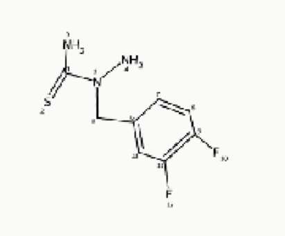 NC(=S)N(N)Cc1ccc(F)c(F)c1